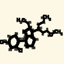 CCCN(CCOC)c1c(CC)nc2c(-c3ccc(Cl)cc3Cl)nccn12